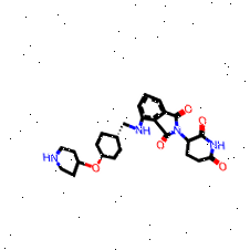 O=C1CCC(N2C(=O)c3cccc(NC[C@H]4CC[C@H](OC5CCNCC5)CC4)c3C2=O)C(=O)N1